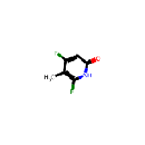 Cc1c(F)cc(=O)[nH]c1F